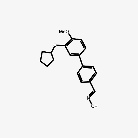 COc1ccc(-c2ccc(C=NO)cc2)cc1OC1CCCC1